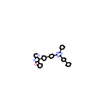 c1ccc(-c2ccc(-c3nc(-c4ccccc4)nc(-c4ccc(-c5ccc(-c6c7ncccc7nc7oc8ccccc8c67)cc5)cc4)n3)cc2)cc1